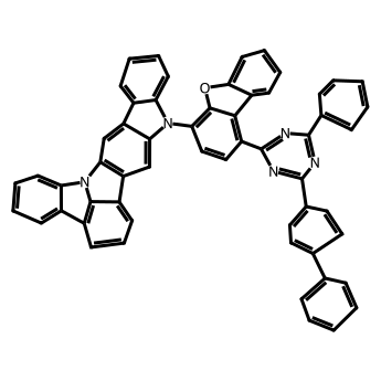 c1ccc(-c2ccc(-c3nc(-c4ccccc4)nc(-c4ccc(-n5c6ccccc6c6cc7c(cc65)c5cccc6c8ccccc8n7c65)c5oc6ccccc6c45)n3)cc2)cc1